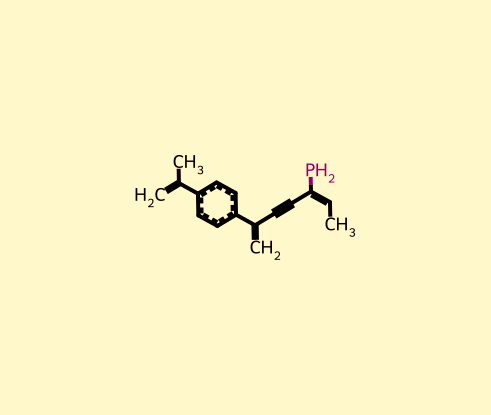 C=C(C)c1ccc(C(=C)C#C/C(P)=C\C)cc1